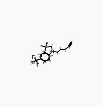 C#CCCCN1CC(C)(C)c2cc(C(F)(F)F)ccc21